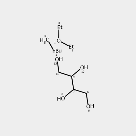 CCCCC.CCOCC.OCC(O)C(O)CO